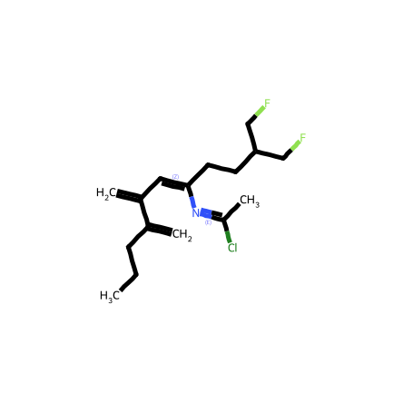 C=C(/C=C(CCC(CF)CF)\N=C(/C)Cl)C(=C)CCC